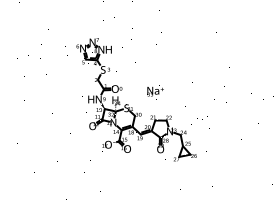 O=C(CSc1cnn[nH]1)N[C@@H]1C(=O)N2C(C(=O)[O-])=C(/C=C3\CCN(CC4CC4)C3=O)CS[C@H]12.[Na+]